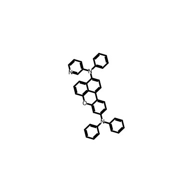 c1ccc(N(c2ccccc2)c2ccc3c(c2)Oc2cccc4c(N(c5ccccc5)c5cccnc5)ccc-3c24)cc1